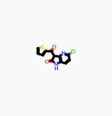 O=C1Nc2ccc(Cl)nc2C1C(=O)c1cccs1